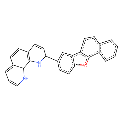 C1=CNC2C(=C1)C=CC1=C2NC(c2ccc3oc4c5ccccc5ccc4c3c2)C=C1